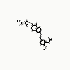 COc1ccc(COc2ccc3c(c2)CCC(CN2CC(C(=O)O)C2)=C3C)cc1CC(C)C